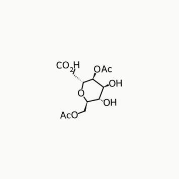 CC(=O)OC[C@H]1O[C@H](CC(=O)O)[C@@H](OC(C)=O)[C@@H](O)[C@@H]1O